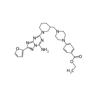 CCOC(=O)c1ccc(N2CCN(CC3CCCN(c4nc(N)n5nc(-c6ccco6)nc5n4)C3)CC2)cc1